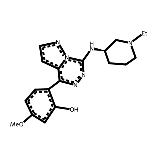 CCN1CCC[C@@H](Nc2nnc(-c3ccc(OC)cc3O)c3ccnn23)C1